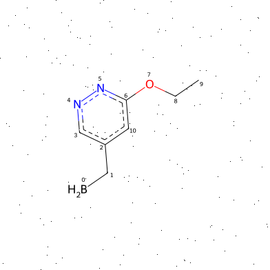 BCc1cnnc(OCC)c1